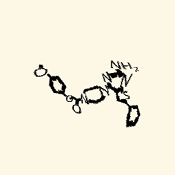 COc1ccc(OCC(=O)N2CCN(c3nc(N)nc4sc(-c5ccccc5)cc34)CC2)cc1